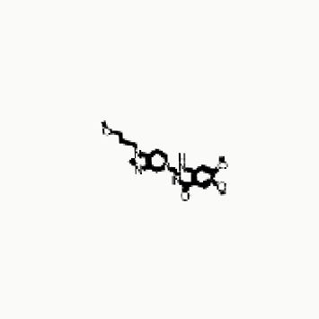 COCCCn1cnc2c1CCN(c1nc(=O)c3cc(OC)c(OC)cc3[nH]1)C2